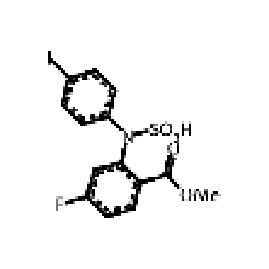 COC(=O)c1ccc(F)cc1N(c1ccc(I)cc1)S(=O)(=O)O